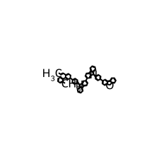 C/C=C/C1=CCC(c2ccc(-n3c4ccccc4c4ccc(-c5ccc6c7ccccc7n(-c7ccc(-c8ccc9oc%10ccccc%10c9c8)cc7)c6c5)cc43)cc2)C=C1c1ccccc1C